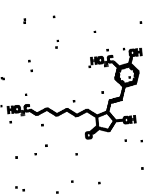 O=C(O)CCCCCCC1C(=O)CC(O)C1C=Cc1ccc(O)c(C(=O)O)c1